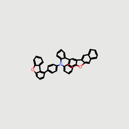 c1ccc(N(c2ccc(-c3cccc4oc5ccccc5c34)cc2)c2ccccc2-c2ccc3oc4cc5ccccc5cc4c3c2)cc1